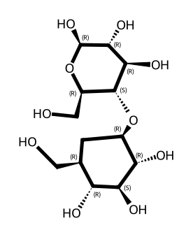 OC[C@H]1C[C@@H](O[C@H]2[C@H](O)[C@@H](O)[C@H](O)O[C@@H]2CO)[C@H](O)[C@@H](O)[C@@H]1O